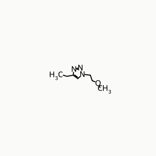 CCc1cn(CCOC)nn1